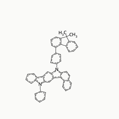 CC1(C)c2ccccc2-c2c(-c3ccc(-n4c5cc6c7ccccc7n(-c7ccccc7)c6cc5c5c6ccccc6ccc54)cc3)cccc21